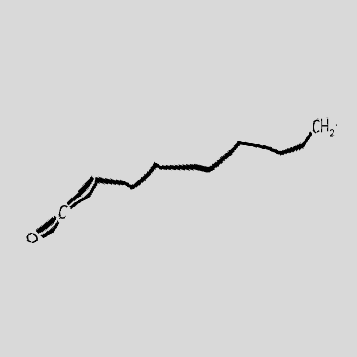 [CH2]CCCCCC=C=O